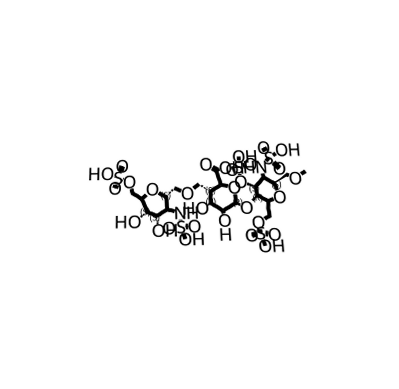 COC[C@H]1OC(COS(=O)(=O)O)[C@@H](O[C@@H]2OC(C(=O)O)[C@@H](COC[C@H]3OC(COS(=O)(=O)O)[C@@H](O)[C@@H](O)C3NS(=O)(=O)O)[C@@H](O)C2O)[C@@H](OS(=O)(=O)O)C1NS(=O)(=O)O